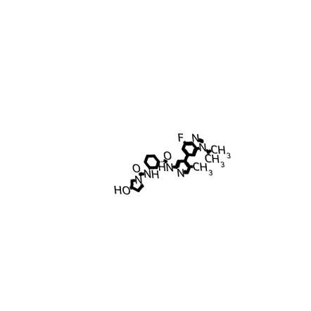 Cc1cnc(NC(=O)[C@H]2CCC[C@@H](NC(=O)N3CCC(O)C3)C2)cc1-c1cc(F)c2ncn(C(C)C)c2c1